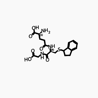 N[C@@H](CCC(=O)N[C@@H](CSC1CCc2ccccc21)C(=O)NCC(=O)O)C(=O)O